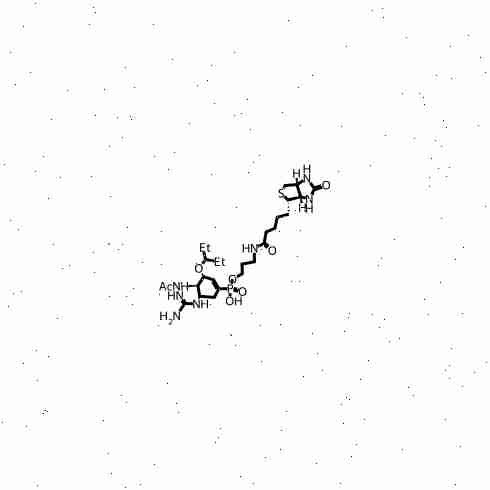 CCC(CC)O[C@@H]1C=C(P(=O)(O)OCCCNC(=O)CCCC[C@@H]2SC[C@@H]3NC(=O)N[C@@H]32)C[C@H](NC(=N)N)[C@H]1NC(C)=O